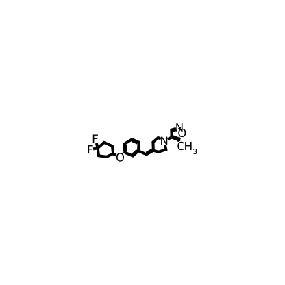 Cc1oncc1N1CCC(=Cc2cccc(OC3CCC(F)(F)CC3)c2)CC1